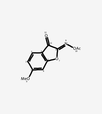 COc1ccc2c(c1)OC(=NOC(C)=O)C2=O